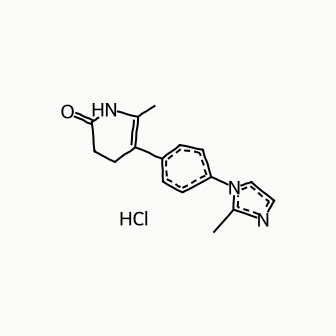 CC1=C(c2ccc(-n3ccnc3C)cc2)CCC(=O)N1.Cl